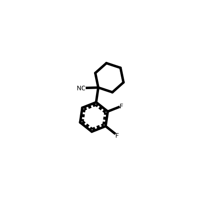 N#CC1(c2cccc(F)c2F)CCCCC1